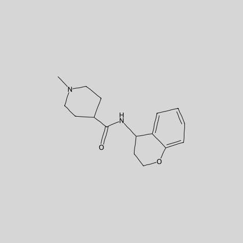 CN1CCC(C(=O)NC2CCOc3ccccc32)CC1